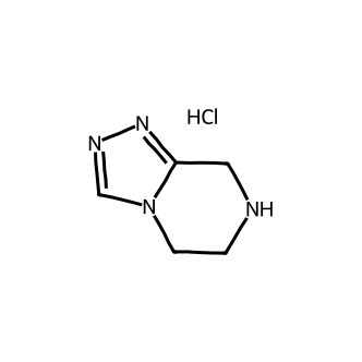 Cl.c1nnc2n1CCNC2